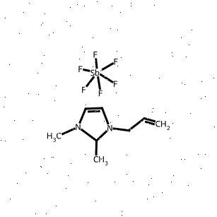 C=CCN1C=CN(C)C1C.[F][Sb-]([F])([F])([F])([F])[F]